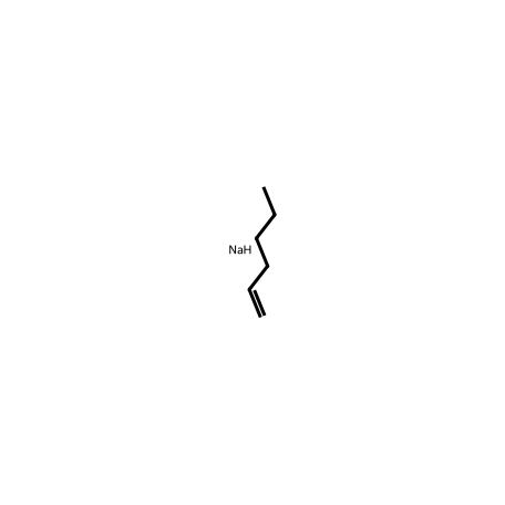 C=CCCCC.[NaH]